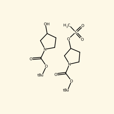 CC(C)(C)OC(=O)N1CCC(O)C1.CC(C)(C)OC(=O)N1CCC(OS(C)(=O)=O)C1